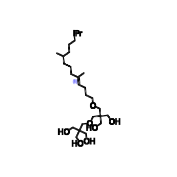 C/C(=C\CCCOCC(CO)(CO)COCC(CO)(CO)CO)CCCC(C)CCCC(C)C